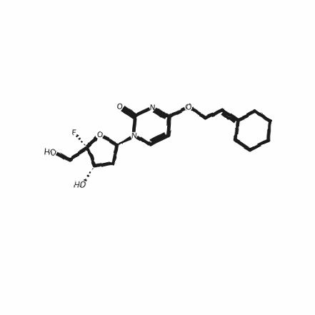 O=c1nc(OCC=C2CCCCC2)ccn1[C@H]1C[C@H](O)[C@@](F)(CO)O1